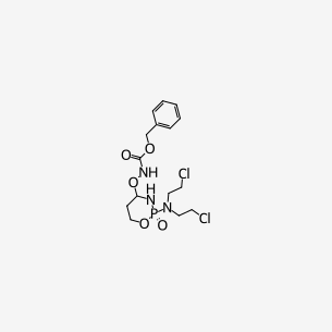 O=C(NOC1CCOP(=O)(N(CCCl)CCCl)N1)OCc1ccccc1